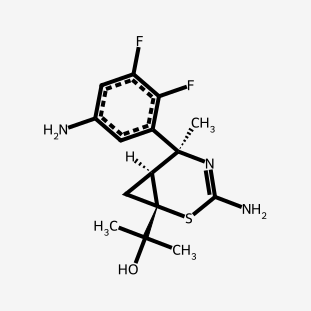 CC(C)(O)[C@@]12C[C@H]1[C@@](C)(c1cc(N)cc(F)c1F)N=C(N)S2